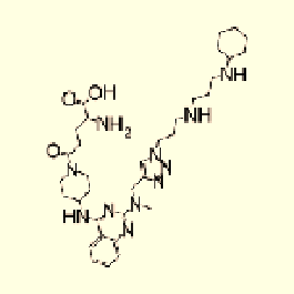 CN(Cc1cn(CCCNCCCNC2CCCCC2)nn1)c1nc(NC2CCN(C(=O)CCC(N)C(=O)O)CC2)c2ccccc2n1